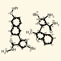 CCCOc1ccc2cc(-c3nn(C(C)(C)C)cc3C(=O)NN)ccc2c1.Cc1oc2ccccc2c1-c1nn(C(C)(C)C)c(N)c1C(N)=O